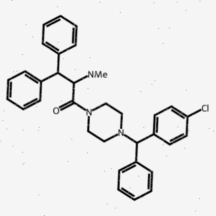 CNC(C(=O)N1CCN(C(c2ccccc2)c2ccc(Cl)cc2)CC1)C(c1ccccc1)c1ccccc1